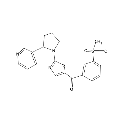 CS(=O)(=O)c1cccc(C(=O)c2cnc(N3CCCC3c3cccnc3)s2)c1